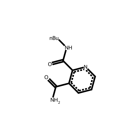 CCCCNC(=O)c1ncccc1C(N)=O